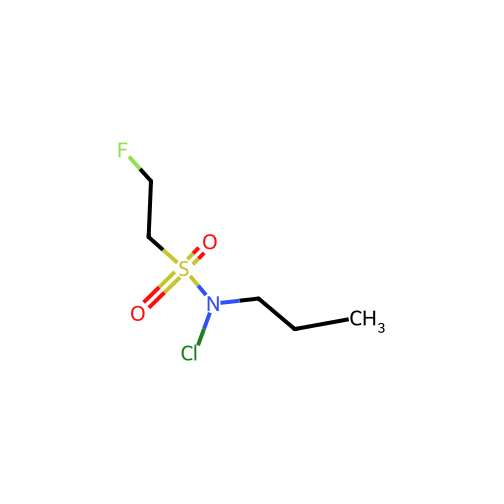 CCCN(Cl)S(=O)(=O)CCF